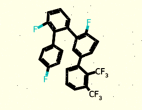 Fc1ccc(-c2c(F)[c]ccc2-c2cc(-c3cccc(C(F)(F)F)c3C(F)(F)F)ccc2F)cc1